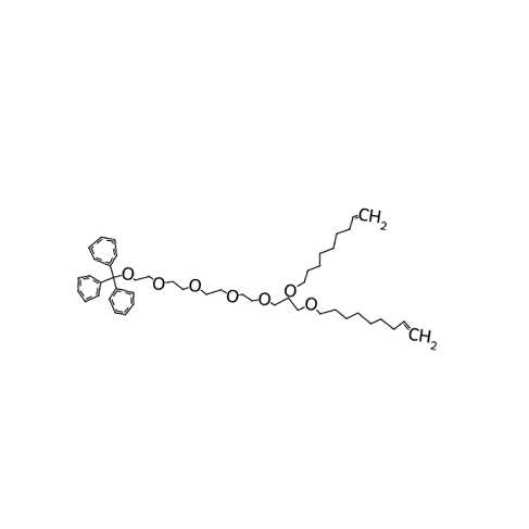 C=CCCCCCCCOCC(COCCOCCOCCOCCOC(c1ccccc1)(c1ccccc1)c1ccccc1)OCCCCCCCC=C